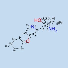 CC(C)C[C@H](N)[C@](O)(Cc1cc(OC2CCC(C)CC2)ccn1)C(=O)O